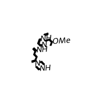 C=CN/C=C\C(=N/CCC(C)OC)NC(=C)CCC(=C)N1CCNCC1